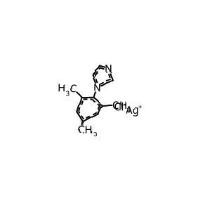 Cc1cc(C)c(-n2ccnc2)c(C)c1.[Ag+].[Cl-]